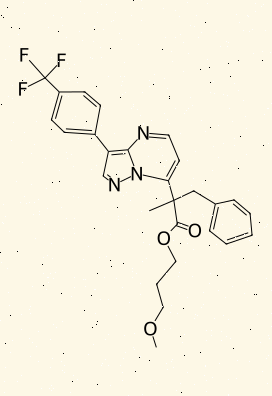 COCCCOC(=O)C(C)(Cc1ccccc1)c1ccnc2c(-c3ccc(C(F)(F)F)cc3)cnn12